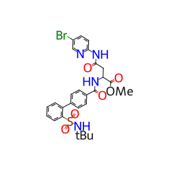 COC(=O)C(CC(=O)Nc1ccc(Br)cn1)NC(=O)c1ccc(-c2ccccc2S(=O)(=O)NC(C)(C)C)cc1